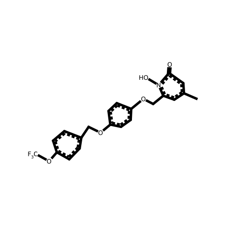 Cc1cc(COc2ccc(OCc3ccc(OC(F)(F)F)cc3)cc2)n(O)c(=O)c1